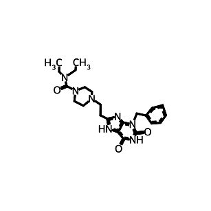 CCN(CC)C(=O)N1CCN(CCc2nc3c([nH]2)c(=O)[nH]c(=O)n3Cc2ccccc2)CC1